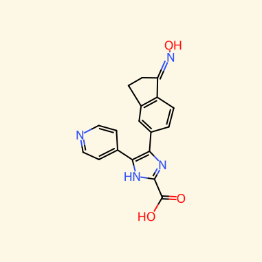 O=C(O)c1nc(-c2ccc3c(c2)CCC3=NO)c(-c2ccncc2)[nH]1